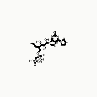 CC/C=C(/COP(=O)(O)CP(=O)(O)O)[C@@H](O)[C@H](F)[C@@H](O)n1cnc2c(N3CCCC3)nc(Cl)nc21